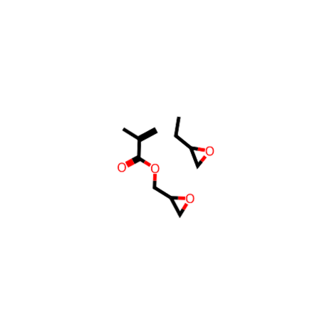 C=C(C)C(=O)OCC1CO1.CCC1CO1